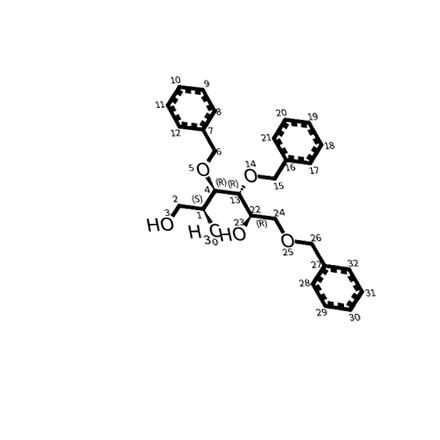 C[C@@H](CO)[C@@H](OCc1ccccc1)[C@H](OCc1ccccc1)[C@H](O)COCc1ccccc1